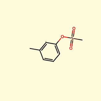 Cc1[c]c(OS(C)(=O)=O)ccc1